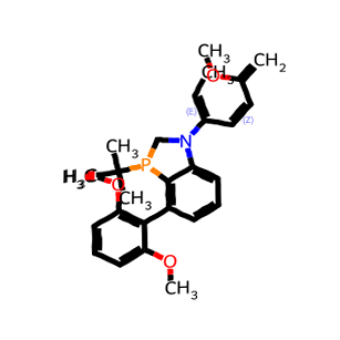 C=C(/C=C\C(=C/C)N1CP(C(C)(C)C)c2c(-c3c(OC)cccc3OC)cccc21)OC